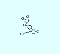 NCCn1c2ccc(Cl)cc2c2ccc(Nc3ccc(Cl)c(Cl)c3)cc21